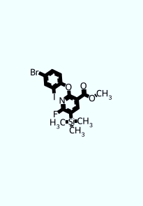 COC(=O)c1cc([Si](C)(C)C)c(F)nc1Oc1ccc(Br)cc1I